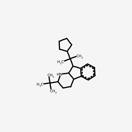 CC(C)(C)C1CCC2c3ccccc3C(C(C)(C)C3CCCC3)C2N1